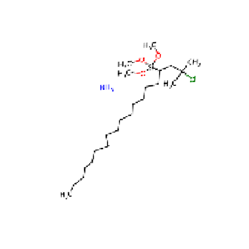 CCCCCCCCCCCCCCCC(CC(C)(C)Cl)[Si](OC)(OC)OC.N